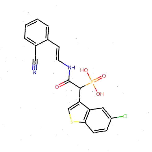 N#Cc1ccccc1C=CNC(=O)C(c1csc2ccc(Cl)cc12)P(=O)(O)O